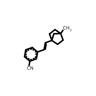 CC12CCC(/C=C/c3cccc(C#N)c3)(CC1)C2